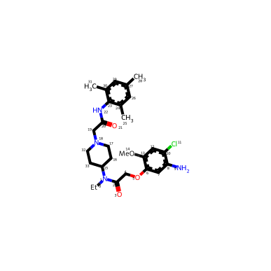 CCN(C(=O)COc1cc(N)c(Cl)cc1OC)C1CCN(CC(=O)Nc2c(C)cc(C)cc2C)CC1